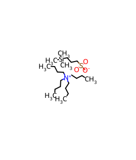 CCCC[N+](CCCC)(CCCC)CCCC.C[Si](C)(C)CCCS(=O)(=O)[O-]